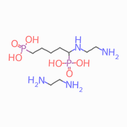 NCCN.NCCNC(CCCCP(=O)(O)O)P(=O)(O)O